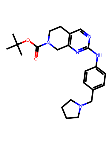 CC(C)(C)OC(=O)N1CCc2cnc(Nc3ccc(CN4CCCC4)cc3)nc2C1